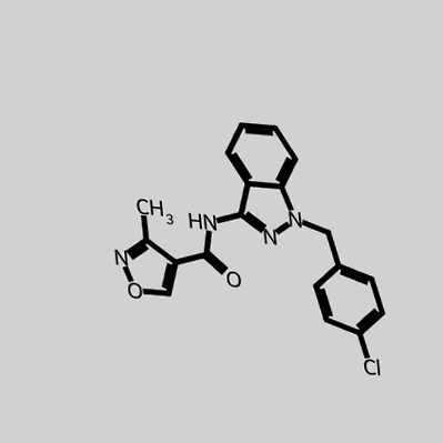 Cc1nocc1C(=O)Nc1nn(Cc2ccc(Cl)cc2)c2ccccc12